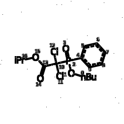 CCCCOP(=O)(c1ccccc1)C(Cl)(Cl)C(=O)OC(C)C